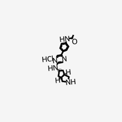 CC(=O)Nc1ccc(-c2cnc(N[C@@H]3C[C@H]4CNC[C@H]4C3)cn2)cc1.Cl